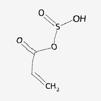 C=CC(=O)OS(=O)O